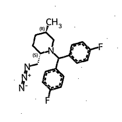 C[C@@H]1CC[C@@H](CN=[N+]=[N-])N(C(c2ccc(F)cc2)c2ccc(F)cc2)C1